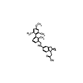 COc1cc(C)c(-c2cccc(CNc3ccc4c(c3)CC3(CC3)C4CC(=O)O)c2C)c(C)c1